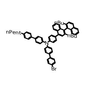 CCCCCc1ccc(-c2ccc(N(c3ccc(-c4ccc(Br)cc4)cc3)c3ccc(-c4cc(CCCC)c(-c5c(CCCC)ccc6ccccc56)c5ccccc45)cc3)cc2)cc1